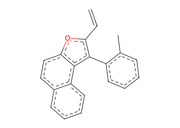 C=Cc1oc2ccc3ccccc3c2c1-c1ccccc1C